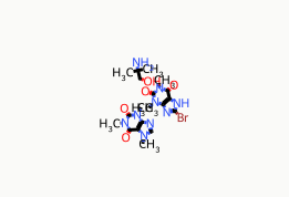 CC(C)(N)CO.Cn1c(=O)c2[nH]c(Br)nc2n(C)c1=O.Cn1c(=O)c2c(ncn2C)n(C)c1=O